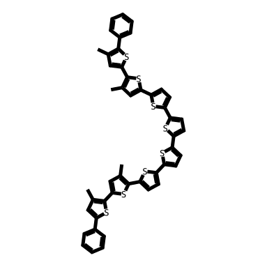 Cc1cc(-c2sc(-c3ccc(-c4ccc(-c5ccc(-c6ccc(-c7sc(-c8sc(-c9ccccc9)cc8C)cc7C)s6)s5)s4)s3)cc2C)sc1-c1ccccc1